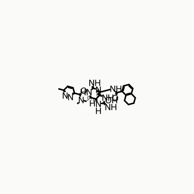 Cc1ccc(C(=O)N(C)C[C@@H]2NC(=N)N3CC(NC(=O)c4cccc5c4CCCC5)[C@@H](O)C34NC(=N)N[C@@H]24)nn1